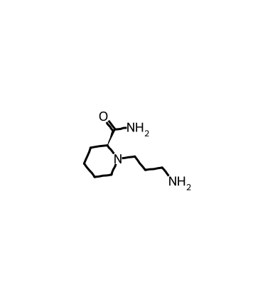 NCCCN1CCCC[C@H]1C(N)=O